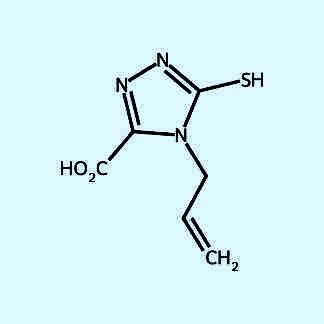 C=CCn1c(S)nnc1C(=O)O